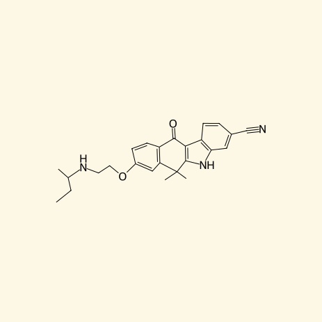 CCC(C)NCCOc1ccc2c(c1)C(C)(C)c1[nH]c3cc(C#N)ccc3c1C2=O